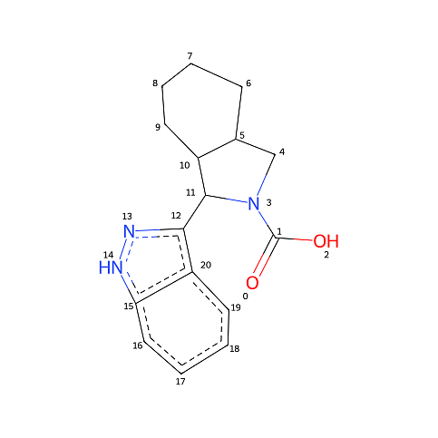 O=C(O)N1CC2CCCCC2C1c1n[nH]c2ccccc12